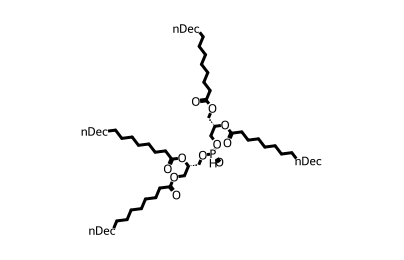 CCCCCCCCCCCCCCCCCC(=O)OC[C@@H](CO[PH](=O)OC[C@H](COC(=O)CCCCCCCCCCCCCCCCC)OC(=O)CCCCCCCCCCCCCCCCC)OC(=O)CCCCCCCCCCCCCCCCC